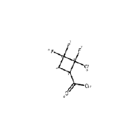 O=C(Cl)C1CC(F)(F)C1(F)Cl